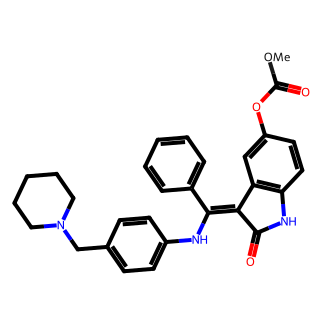 COC(=O)Oc1ccc2c(c1)/C(=C(/Nc1ccc(CN3CCCCC3)cc1)c1ccccc1)C(=O)N2